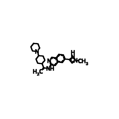 C=C(Nc1cc2cc(-c3cn(C)[nH]3)ccc2cn1)C1CCC(N2CCCCC2)CC1